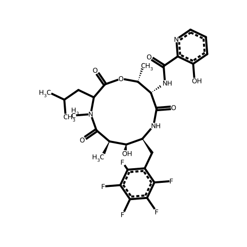 CC(C)CC1C(=O)O[C@H](C)[C@H](NC(=O)c2ncccc2O)C(=O)N[C@@H](Cc2c(F)c(F)c(F)c(F)c2F)[C@@H](O)[C@@H](C)C(=O)N1C